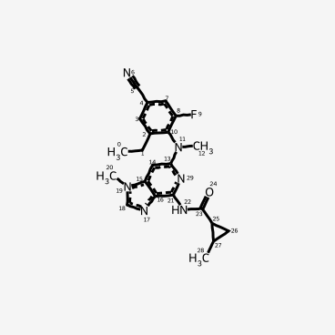 CCc1cc(C#N)cc(F)c1N(C)c1cc2c(ncn2C)c(NC(=O)C2CC2C)n1